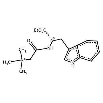 CCOC(=O)[C@H](Cc1c[nH]c2ccccc12)NC(=O)C[N+](C)(C)C